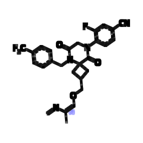 C=N/C(C)=C\OCC1CC2(C1)C(=O)N(c1ccc(C#N)cc1F)CC(=O)N2Cc1ccc(C(F)(F)F)cc1